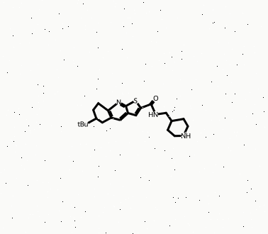 CC(C)(C)C1CCc2nc3sc(C(=O)NCC4CCNCC4)cc3cc2C1